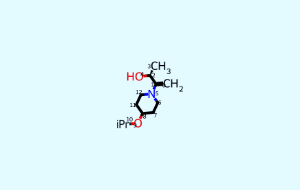 C=C([C@H](C)O)N1CCC(OC(C)C)CC1